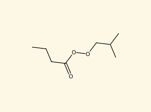 CCCC(=O)OOCC(C)C